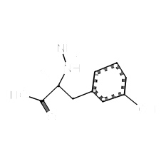 C[C@@](Cc1cccc(O)c1)(NN)C(=O)O